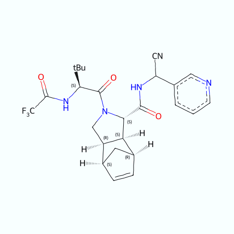 CC(C)(C)[C@H](NC(=O)C(F)(F)F)C(=O)N1C[C@H]2[C@@H]([C@H]1C(=O)NC(C#N)c1cccnc1)[C@H]1C=C[C@@H]2C1